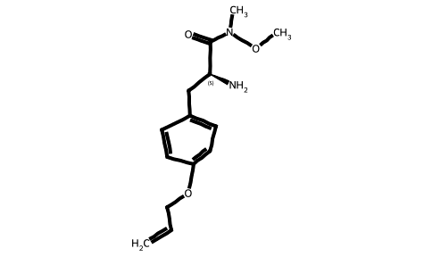 C=CCOc1ccc(C[C@H](N)C(=O)N(C)OC)cc1